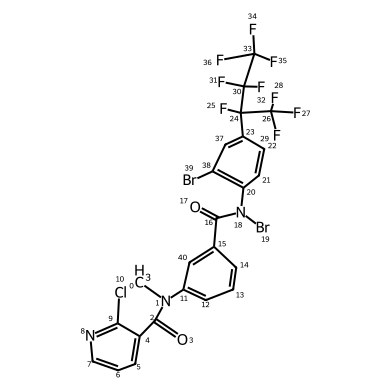 CN(C(=O)c1cccnc1Cl)c1cccc(C(=O)N(Br)c2ccc(C(F)(C(F)(F)F)C(F)(F)C(F)(F)F)cc2Br)c1